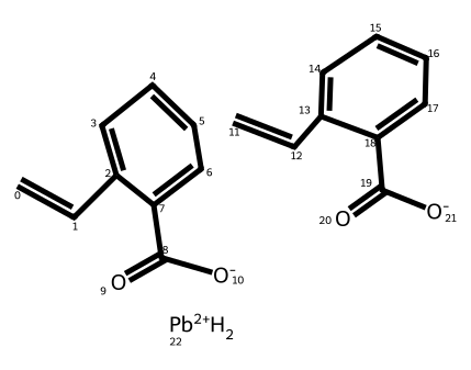 C=Cc1ccccc1C(=O)[O-].C=Cc1ccccc1C(=O)[O-].[PbH2+2]